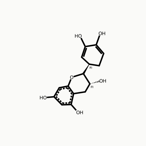 OC1=CC[C@@H](C2Oc3cc(O)cc(O)c3C[C@H]2O)C=C1O